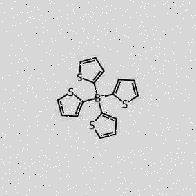 c1csc([B-](c2cccs2)(c2cccs2)c2cccs2)c1